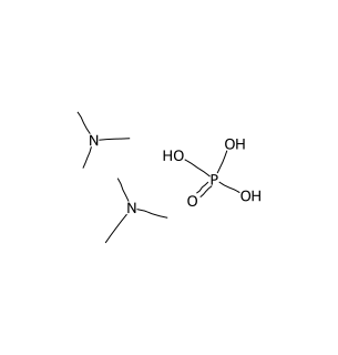 CN(C)C.CN(C)C.O=P(O)(O)O